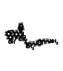 C=Nc1c(/C(=N\COCCCN(C)CCCCN2CCN(CCCCN)CC2)N2CC3CCC(C2)N3)cc(Cl)c(-c2cc(O)cc3ccccc23)c1F